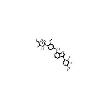 CCc1cc(Nc2nccn3c(-c4ccc(OC)c(F)c4F)cnc23)ccc1C(=O)NC(C)N(O)CC